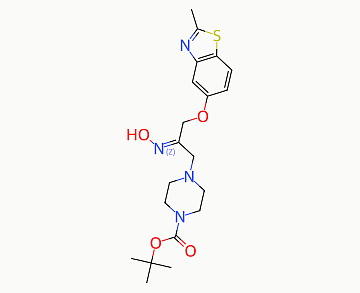 Cc1nc2cc(OC/C(CN3CCN(C(=O)OC(C)(C)C)CC3)=N\O)ccc2s1